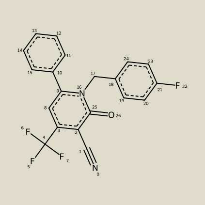 N#Cc1c(C(F)(F)F)cc(-c2ccccc2)n(Cc2ccc(F)cc2)c1=O